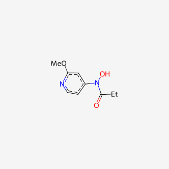 CCC(=O)N(O)c1ccnc(OC)c1